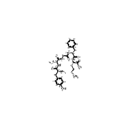 CSCC[C@H](NC(=O)[C@H](Cc1ccccc1)NC(=O)CNC(=O)[C@@H](C)NC(=O)[C@@H](N)Cc1ccc(O)cc1)C(=O)O